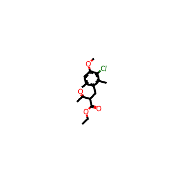 CCOC(=O)C(Cc1c(C)cc(OC)c(Cl)c1C)C(C)=O